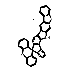 c1ccc2c(c1)Oc1ccccc1C21c2ccccc2-c2c1ccc1c2[nH]c2cc3oc4ccccc4c3cc21